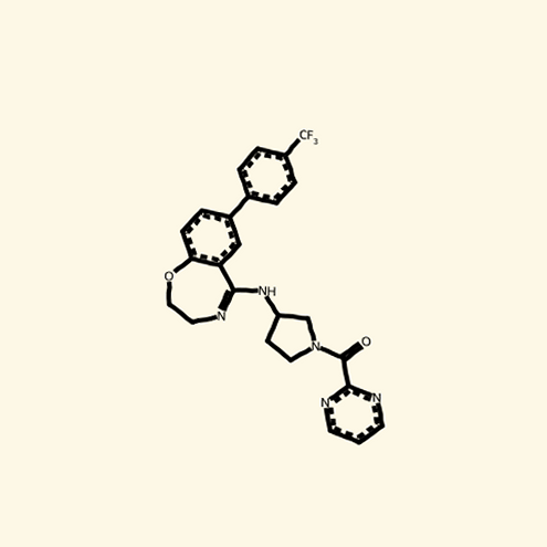 O=C(c1ncccn1)N1CCC(NC2=NCCOc3ccc(-c4ccc(C(F)(F)F)cc4)cc32)C1